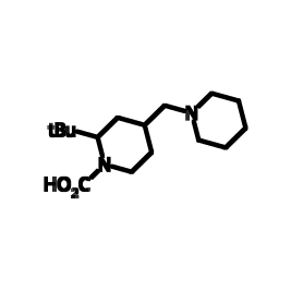 CC(C)(C)C1CC(CN2CCCCC2)CCN1C(=O)O